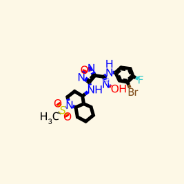 CS(=O)(=O)N1CCC(Nc2nonc2/C(=N/O)Nc2ccc(F)c(Br)c2)C2CCCCC21